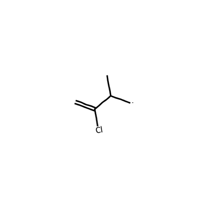 [CH2]C(C)C(=C)Cl